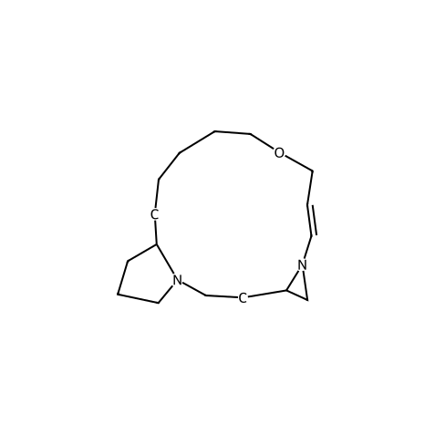 C1=C/N2CC2CCN2CCCC2CCCCCOC/1